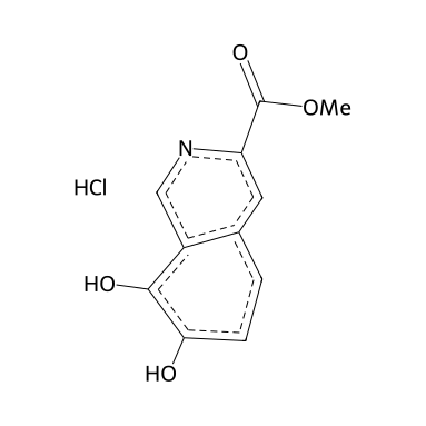 COC(=O)c1cc2ccc(O)c(O)c2cn1.Cl